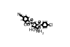 N#Cc1ccc(S(=O)(=O)N2CC(S(=O)(=O)c3ccc(Cl)cc3)[C@@](O)(CN)C2)c(Cl)c1